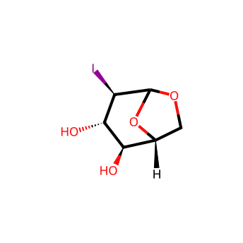 O[C@H]1[C@H](O)[C@@H](I)C2OC[C@H]1O2